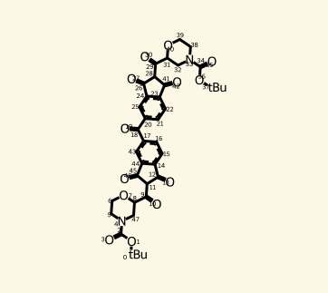 CC(C)(C)OC(=O)N1CCOC(C(=O)C2C(=O)c3ccc(C(=O)c4ccc5c(c4)C(=O)C(C(=O)C4CN(C(=O)OC(C)(C)C)CCO4)C5=O)cc3C2=O)C1